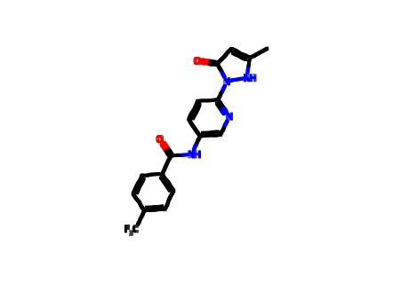 Cc1cc(=O)n(-c2ccc(NC(=O)c3ccc(C(F)(F)F)cc3)cn2)[nH]1